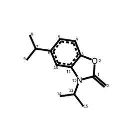 C=C1Oc2ccc(C(C)C)cc2N1C(C)C